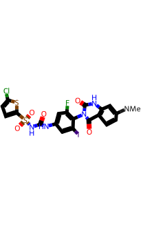 CNc1ccc2c(=O)n(-c3c(F)cc(NC(=O)NS(=O)(=O)c4ccc(Cl)s4)cc3I)c(=O)[nH]c2c1